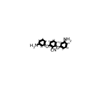 N#Cc1c(Oc2cccc(N)c2)cccc1Oc1cccc(N)c1